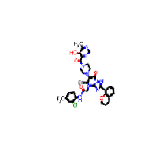 CCc1c(N2CCN(C(=O)c3ncnc(C)c3O)CC2)c(=O)n2nc(-c3cccc4c3OCCC4)nc2n1CC(=O)Nc1ccc(C(F)(F)F)cc1Cl